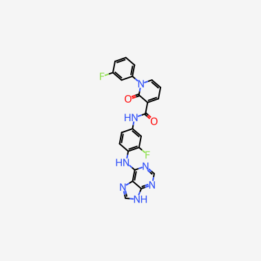 O=C(Nc1ccc(Nc2ncnc3[nH]cnc23)c(F)c1)c1cccn(-c2cccc(F)c2)c1=O